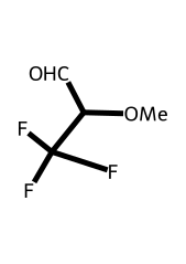 COC(C=O)C(F)(F)F